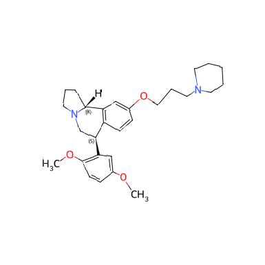 COc1ccc(OC)c([C@H]2CN3CCC[C@@H]3c3cc(OCCCN4CCCCC4)ccc32)c1